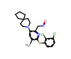 Cc1cc(N2CCC3(CCCC3)CC2)c(CN=O)nc1Sc1cccc(Cl)c1Cl